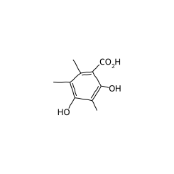 Cc1c(C)c(C(=O)O)c(O)c(C)c1O